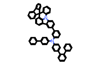 c1ccc(-c2ccc(N(c3ccc(-c4ccccc4-c4ccccc4)cc3)c3cccc(-c4ccc5c(c4)c4cccc6c4n5-c4ccccc4C64c5ccccc5-c5ccccc54)c3)cc2)cc1